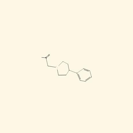 CC(=O)CN1CCC(c2ccccc2)CC1